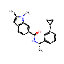 Cc1cc2ccc(C(=O)N[C@@H](C)c3cccc(C4CC4)c3)cc2n1C